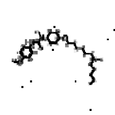 CCCCCN(C)CCCCCCO[C@H]1CC[C@H](N(C)C(=S)Nc2ccc(OC)cc2)CC1